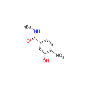 CCCCNC(=O)c1ccc([N+](=O)[O-])c(O)c1